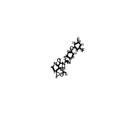 COc1ccnc(C(=O)Nc2nc3ccc(Oc4cc(F)cc(F)c4)cc3s2)c1OC(C)=O